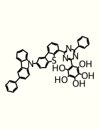 Oc1c(O)c(O)c(-c2nc(-c3ccccc3)nc(-c3cccc4c3sc3ccc(-n5c6ccccc6c6cc(-c7ccccc7)ccc65)cc34)n2)c(O)c1O